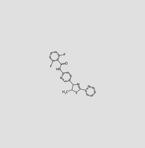 CC1SC(c2ccccn2)=NC1c1ccc(NC(=O)c2c(F)cccc2F)nc1